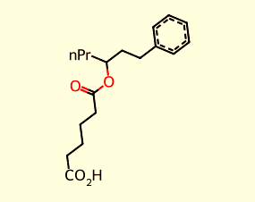 CCCC(CCc1ccccc1)OC(=O)CCCCC(=O)O